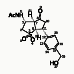 CC(=O)N[C@H]1CS(=O)(=O)[C@H]2[C@@H]1C(=O)C[C@@H]2c1ccc(CO)cc1